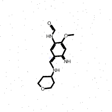 COC1=CC(=N)/C(=C\NC2CCOCC2)C=C1NC=O